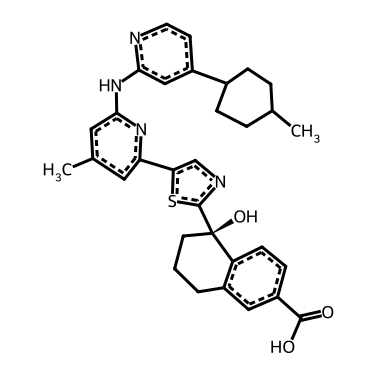 Cc1cc(Nc2cc(C3CCC(C)CC3)ccn2)nc(-c2cnc([C@@]3(O)CCCc4cc(C(=O)O)ccc43)s2)c1